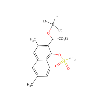 CCOC(=O)C(O[Si](CC)(CC)CC)c1c(C)cc2cc(C)ccc2c1OS(=O)(=O)C(F)(F)F